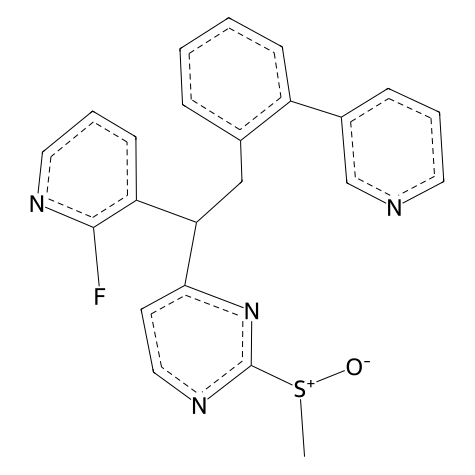 C[S+]([O-])c1nccc(C(Cc2ccccc2-c2cccnc2)c2cccnc2F)n1